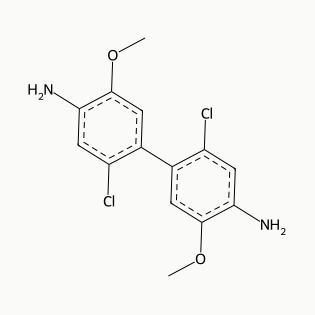 COc1cc(-c2cc(OC)c(N)cc2Cl)c(Cl)cc1N